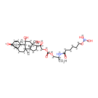 C[C@]12C=CC(=O)C=C1CC[C@@H]1[C@@H]2[C@@H](O)C[C@@]2(C)[C@H]1CC[C@]2(O)C(=O)COC(=O)OCC(NC(=O)CCCCCON(O)O)C(=O)O